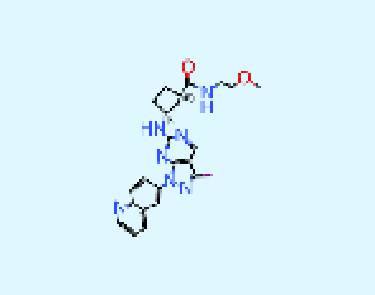 COCCNC(=O)[C@@H]1CC[C@@H](Nc2ncc3c(I)nn(-c4ccc5ncccc5c4)c3n2)C1